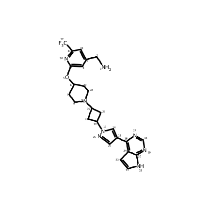 NCc1cc(OC2CCN(C3C[C](n4cc(-c5ncnc6[nH]ccc56)cn4)C3)CC2)nc(C(F)(F)F)c1